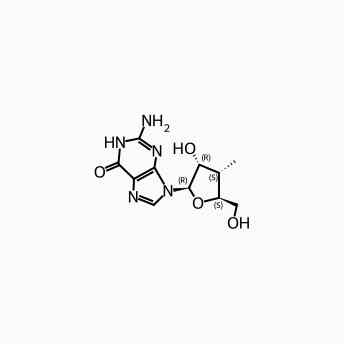 C[C@H]1[C@@H](O)[C@H](n2cnc3c(=O)[nH]c(N)nc32)O[C@@H]1CO